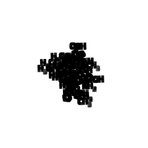 CNC(C(=O)N1CCCC1C(=O)NC(Cc1c[nH]c2ccccc12)C(=O)NC(CC(C)C)C(=O)NC(CCC(=O)O)C(=O)N1CCCC1C(=O)NC(C)C(=O)NC(Cc1ccc(O)cc1)C(=O)NC(CCC(N)=O)C(=O)NC(C(=O)NC(Cc1ccccc1)C(=O)NC(CC(C)C)C(=O)O)C1CCNC=N1)C(C)C